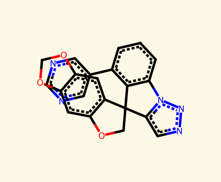 c1cc(-c2cncnc2)c2c(c1)-n1nncc1C21COc2cc3c(cc21)OCO3